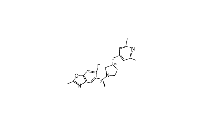 Cc1cc(C[C@@H]2CCN([C@@H](C)c3cc4nc(C)oc4cc3F)C2)cc(C)n1